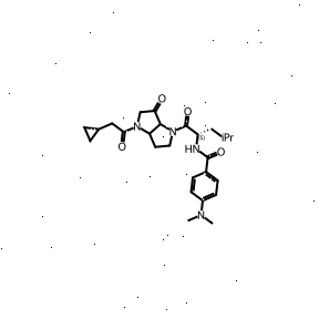 CC(C)C[C@H](NC(=O)c1ccc(N(C)C)cc1)C(=O)N1CCC2C1C(=O)CN2C(=O)CC1CC1